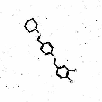 Clc1ccc(COc2ccc(/C=N/C3CCCCC3)cc2)cc1Cl